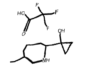 CC1CCC(C2(O)CC2)NC1.O=C(O)C(F)(F)F